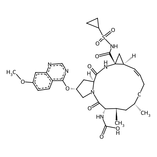 COc1ccc2c(O[C@@H]3C[C@H]4C(=O)N[C@]5(C(=O)NS(=O)(=O)C6CC6)C[C@H]5/C=C\CC[C@H](C)C[C@@H](C)[C@H](NC(=O)O)C(=O)N4C3)ncnc2c1